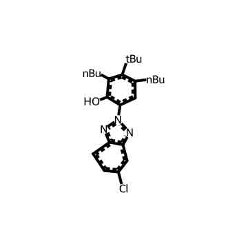 CCCCc1cc(-n2nc3ccc(Cl)cc3n2)c(O)c(CCCC)c1C(C)(C)C